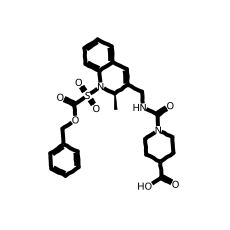 C[C@@H]1C(CNC(=O)N2CCC(C(=O)O)CC2)=Cc2ccccc2N1S(=O)(=O)C(=O)OCc1ccccc1